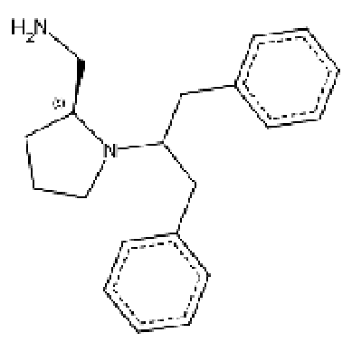 NC[C@@H]1CCCN1C(Cc1ccccc1)Cc1ccccc1